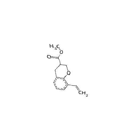 C=Cc1cccc2c1OCC(C(=O)OC)C2